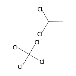 CC(Cl)Cl.ClC(Cl)(Cl)Cl